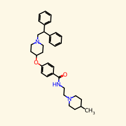 CC1CCN(CCNC(=O)c2ccc(OC3CCN(CC(c4ccccc4)c4ccccc4)CC3)cc2)CC1